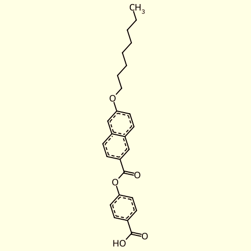 CCCCCCCCOc1ccc2cc(C(=O)Oc3ccc(C(=O)O)cc3)ccc2c1